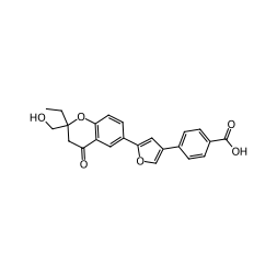 CCC1(CO)CC(=O)c2cc(-c3cc(-c4ccc(C(=O)O)cc4)co3)ccc2O1